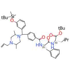 C=CCN1CC(C)N(C(c2ccc(C(=O)N[C@@H](Cc3ccccc3)C(=O)N[C@@H](CC(C)C)C(=O)OC(C)(C)C)cc2)c2cccc(O[Si](C)(C)C(C)(C)C)c2)CC1C